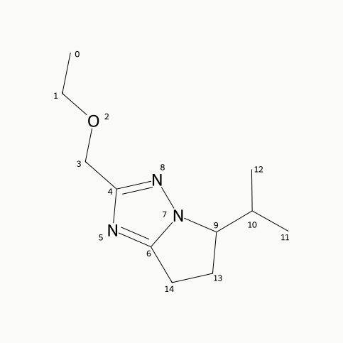 CCOCc1nc2n(n1)C(C(C)C)CC2